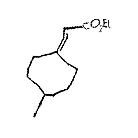 CCOC(=O)C=C1CCC(C)CC1